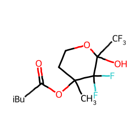 CCC(C)C(=O)OC1(C)CCOC(O)(C(F)(F)F)C1(F)F